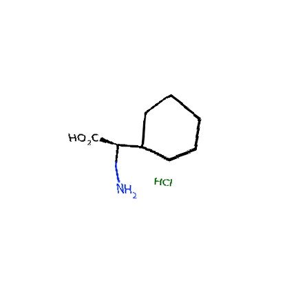 Cl.N[C@@H](C(=O)O)C1CCCCC1